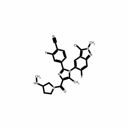 CNC1CCN(C(=O)c2nc(-c3ccc(C#N)c(F)c3)n(-c3cc4c(Cl)n(C)nc4cc3F)c2C)C1